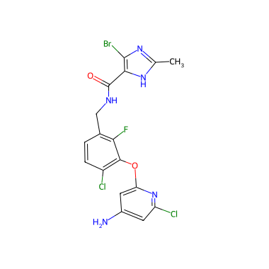 Cc1nc(Br)c(C(=O)NCc2ccc(Cl)c(Oc3cc(N)cc(Cl)n3)c2F)[nH]1